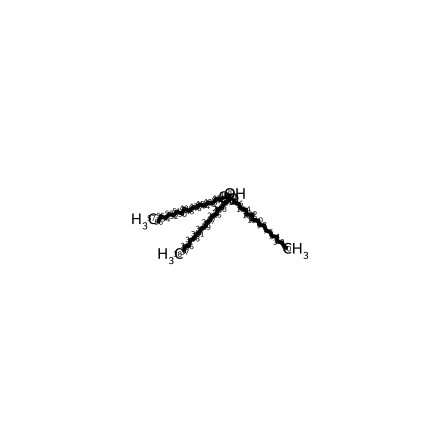 CCCCCCCCCCCCCCCCCCOC(O)(CCCCCCCCCCCCCCCCCC)OCCCCCCCCCCCCCCCCCC